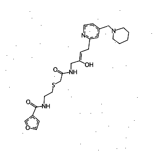 O=C(CSCCNC(=O)c1ccoc1)NC/C(O)=C/Cc1cc(CN2CCCCC2)ccn1